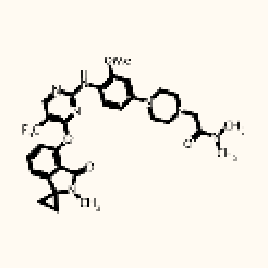 COc1cc(N2CCN(CC(=O)N(C)C)CC2)ccc1Nc1ncc(C(F)(F)F)c(Oc2cccc3c2C(=O)N(C)C32CC2)n1